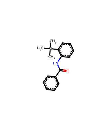 C[Si](C)(C)c1ccccc1NC(=O)c1ccccc1